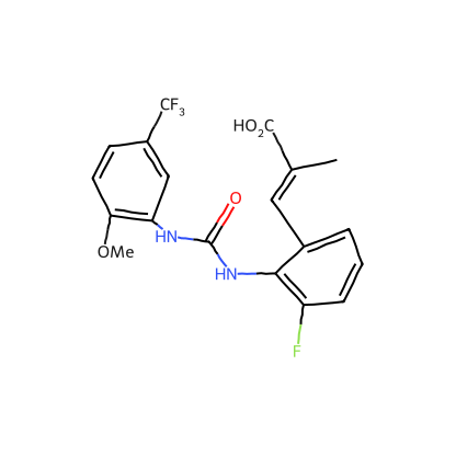 COc1ccc(C(F)(F)F)cc1NC(=O)Nc1c(F)cccc1C=C(C)C(=O)O